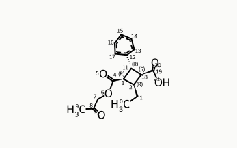 CC[C@H]1[C@@H](C(=O)OCC(C)=O)[C@H](c2ccccc2)[C@H]1C(=O)O